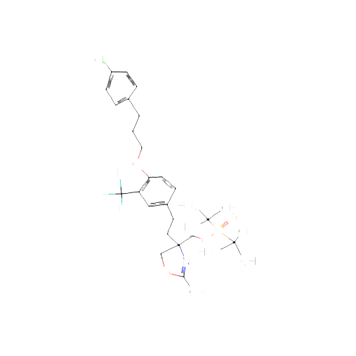 CC1=NC(CCc2ccc(OCCCc3ccc(Cl)cc3)c(C(F)(F)F)c2)(COP(=O)(C(C)(C)C)C(C)(C)C)CO1